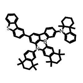 CC1(C)CCC(C)(C)c2cc(N3c4cc5c(cc4B4c6cc(N7c8ccccc8C8(C)CCCCC78C)ccc6-c6cc(-c7ccc8sc9ccccc9c8c7)cc3c64)C(C)(C)CCC5(C)C)ccc21